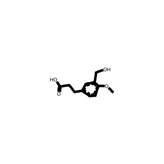 COc1ccc(CCC(=O)O)cc1CO